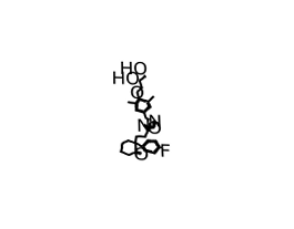 Cc1cc(-c2noc(CCC3(c4ccc(F)cc4)CCCCC3=O)n2)cc(C)c1OCC(O)CO